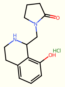 Cl.O=C1CCCN1CC1NCCc2cccc(O)c21